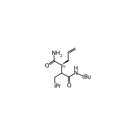 C=CC[C@H](C(N)=O)C(CC(C)C)C(=O)NC(C)(C)C